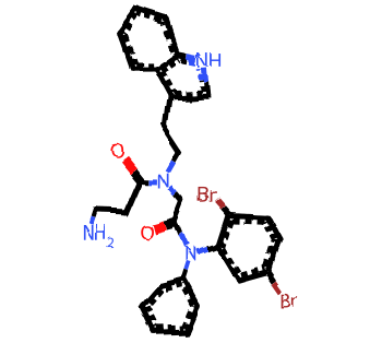 NCCC(=O)N(CCc1c[nH]c2ccccc12)CC(=O)N(c1ccccc1)c1cc(Br)ccc1Br